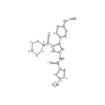 CCCOc1ccc(-c2nc(NC(=O)c3ccc([N+](=O)[O-])s3)sc2C(=O)N2CCOCC2)cc1